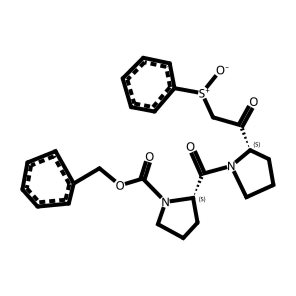 O=C(C[S+]([O-])c1ccccc1)[C@@H]1CCCN1C(=O)[C@@H]1CCCN1C(=O)OCc1ccccc1